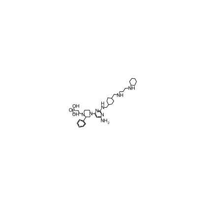 Nc1cc(N2CCN(CCP(=O)(O)O)C(c3ccccc3)C2)nc(NCC2CCC(CNCCCNC3CCCCC3)CC2)n1